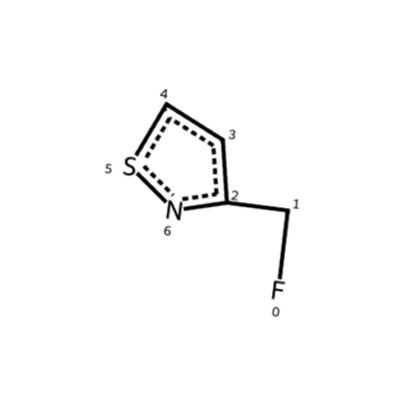 FCc1c[c]sn1